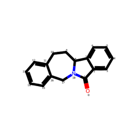 O=C1c2ccccc2C2CCc3cc[c]cc3CN12